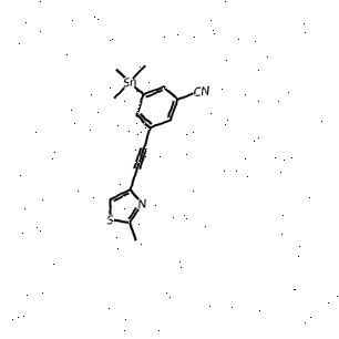 Cc1nc(C#Cc2cc(C#N)c[c]([Sn]([CH3])([CH3])[CH3])c2)cs1